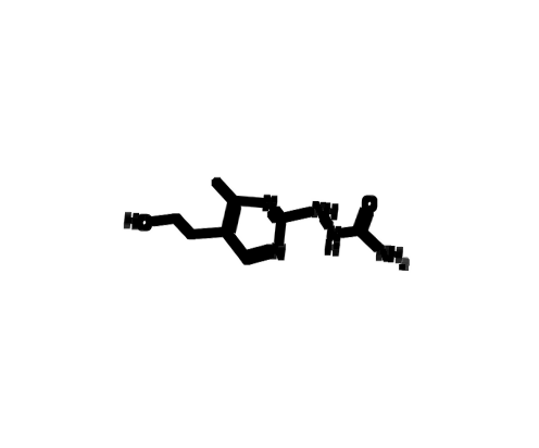 Cc1nc(NNC(N)=O)ncc1CCO